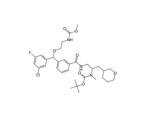 COC(=O)NCCOC(c1cc(F)cc(Cl)c1)c1cccc(C(=O)NCC(CC2CCCOC2)N(C)C(=O)OC(C)(C)C)c1